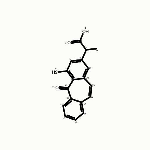 CC(C(=O)O)c1cc(S)c2c(=O)c3ccccc3ccc2c1